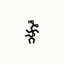 CCC(CC)(CC(=O)O)O[Si](CC)(CC)CC